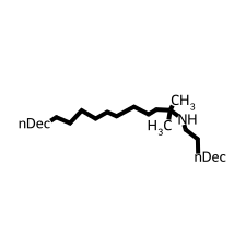 CCCCCCCCCCCCCCCCCCCC(C)(C)NCCCCCCCCCCCC